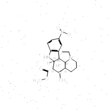 CC[C@]12CCCN3CC[C@]4(c5cc([N+](=O)[O-])ccc5N[C@H]4[C@@H](C(=O)OC)C1)[C@@H]32